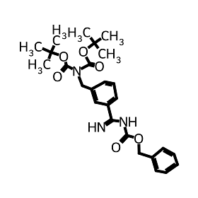 CC(C)(C)OC(=O)N(Cc1cccc(C(=N)NC(=O)OCc2ccccc2)c1)C(=O)OC(C)(C)C